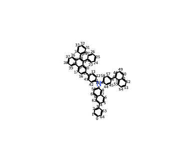 c1ccc(-c2ccc3cc(N(c4ccc(-c5ccc6c(c5)c(-c5ccccc5)c(-c5ccccc5)c5ccccc56)cc4)c4ccc(-c5cccc6ccccc56)cc4)ccc3c2)cc1